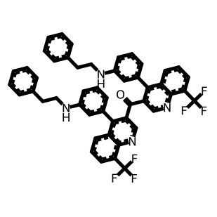 O=C(c1cnc2c(C(F)(F)F)cccc2c1-c1cccc(NCCc2ccccc2)c1)c1cnc2c(C(F)(F)F)cccc2c1-c1cccc(NCCc2ccccc2)c1